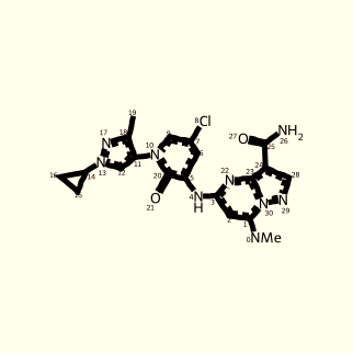 CNc1cc(Nc2cc(Cl)cn(-c3cn(C4CC4)nc3C)c2=O)nc2c(C(N)=O)cnn12